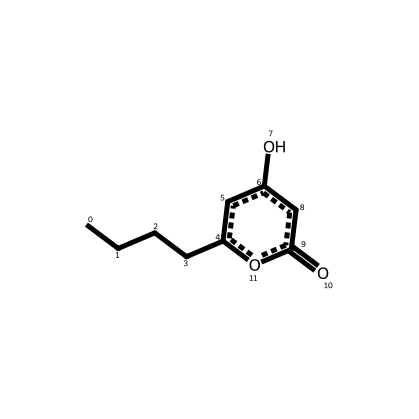 CCCCc1cc(O)cc(=O)o1